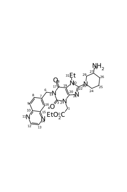 CCOC(=O)Cn1c(=O)n(Cc2ccc3nccnc3c2)c(=O)c2c1nc(N1CCCC(N)C1)n2CC